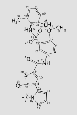 COc1ccc(NC(=O)c2cc(-c3ccnn3C)c(Cl)s2)cc1S(=O)(=O)Nc1c(C)cccc1C